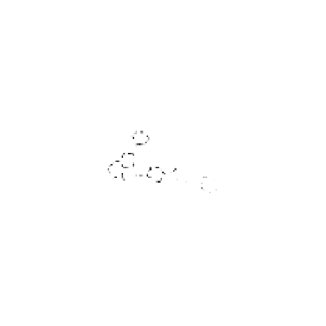 O=C(NCCN1CCOCC1)c1ccc(Nc2nc(-c3ccccc3)cc3cc[nH]c(=O)c23)cc1